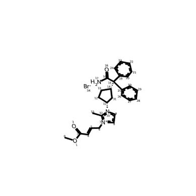 COC(=O)C=CC[n+]1ccn([C@@H]2CC[C@H](C(C(N)=O)(c3ccccc3)c3ccccc3)C2)c1C.[Br-]